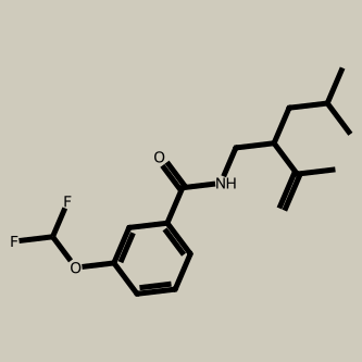 C=C(C)C(CNC(=O)c1cccc(OC(F)F)c1)CC(C)C